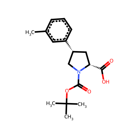 Cc1cccc([C@@H]2C[C@H](C(=O)O)N(C(=O)OC(C)(C)C)C2)c1